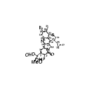 COCc1c(C(O)C=O)cc2n(c1=O)Cc1c-2nc2cc(F)c(C)c3c2c1C(C1CC1)CS3